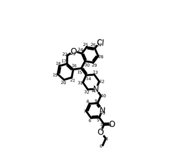 CCOC(=O)c1cccc(CN2CCC(=C3C4=C(C=CCC4)COc4cc(Cl)ccc43)CC2)n1